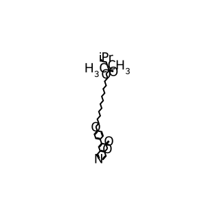 CC(C)CCC(C)(C)C(=O)OCCCCCCCCCCCCCOc1ccc(-c2cc3cnccc3oc2=O)cc1